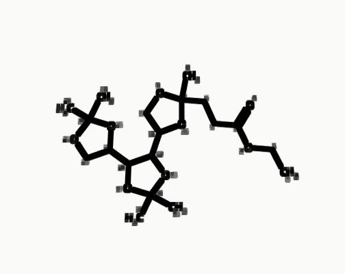 CCOC(=O)CCC1(C)OCC(C2OC(C)(C)OC2C2COC(C)(C)O2)O1